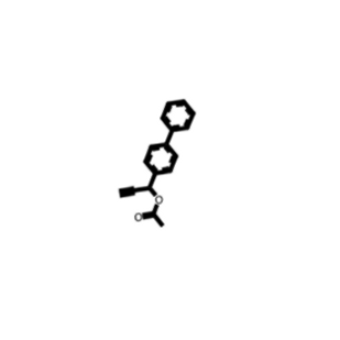 C#CC(OC(C)=O)c1ccc(-c2ccccc2)cc1